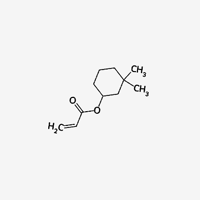 C=CC(=O)OC1CCCC(C)(C)C1